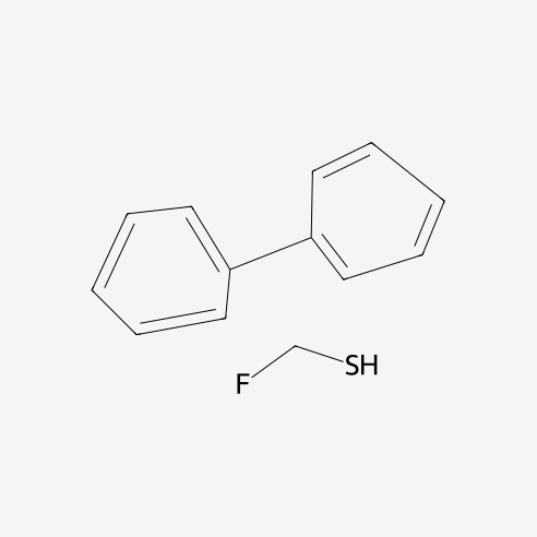 FCS.c1ccc(-c2ccccc2)cc1